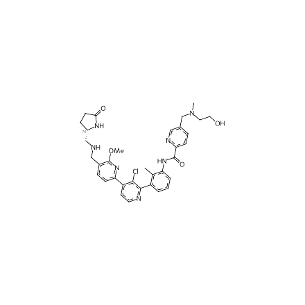 COc1nc(-c2ccnc(-c3cccc(NC(=O)c4ccc(CN(C)CCO)cn4)c3C)c2Cl)ccc1CNC[C@@H]1CCC(=O)N1